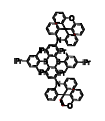 CC(C)c1cc(C(C)C)c(B2c3ccc(N4c5ccccc5C5(c6ccccc6Oc6ccccc65)c5ccccc54)cc3B(c3c(C(C)C)cc(C(C)C)cc3C(C)C)c3cc(N4c5ccccc5C5(c6ccccc6Oc6ccccc65)c5ccccc54)ccc32)c(C(C)C)c1